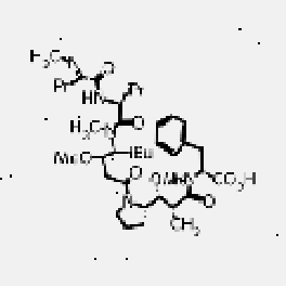 CC[C@H](C)[C@@H]([C@@H](CC(=O)N1CCC[C@H]1[C@H](OC)[C@@H](C)C(=O)N[C@@H](Cc1ccccc1)C(=O)O)OC)N(C)C(=O)[C@@H](NC(=O)/C(=N/C)C(C)C)C(C)C